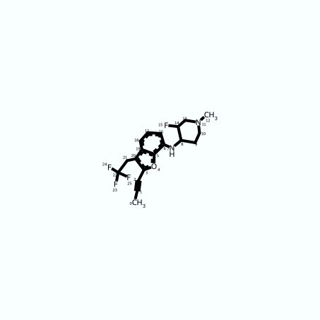 CC#Cc1oc2c(NC3CCN(C)CC3F)cccc2c1CC(F)(F)F